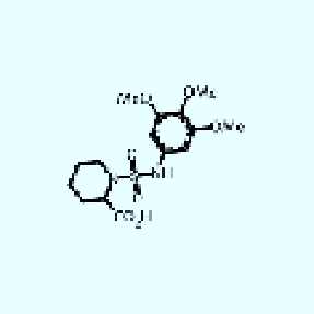 COc1cc(NS(=O)(=O)N2CCCCC2C(=O)O)cc(OC)c1OC